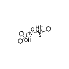 O=C(CNC(=S)NCc1ccccc1)N1CCC(C(O)(c2ccccc2)c2ccccc2)CC1